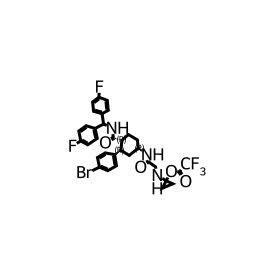 O=C(CNC1(OC(=O)C(F)(F)F)CC1)N[C@@H]1CC[C@@H](C(=O)NC(c2ccc(F)cc2)c2ccc(F)cc2)[C@H](c2ccc(Br)cc2)C1